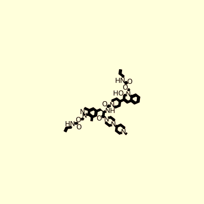 C=CCNC(=O)OCN1c2ccccc2C=C(C2CCN(C(=O)N[C@H](Cc3cc(C)c4c(cnn4COC(=O)NCC=C)c3)C(=O)N3CCN(C4CCN(C)CC4)CC3)CC2)C1O